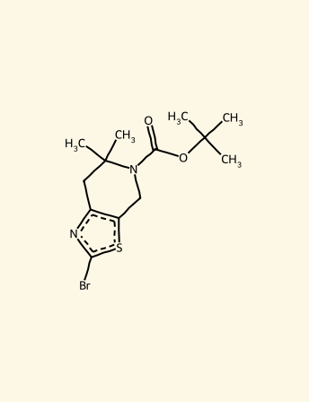 CC(C)(C)OC(=O)N1Cc2sc(Br)nc2CC1(C)C